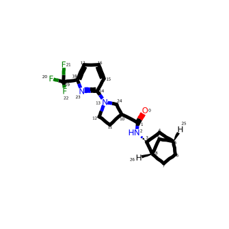 O=C(N[C@@H]1C[C@@H]2CC[C@H]1C2)C1CCN(c2cccc(C(F)(F)F)n2)C1